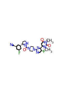 Cn1c(-c2nc(N3CCN(C(=O)N4N=CC[C@H]4c4cc(F)cc(C#N)c4)CC3)ncc2F)cc(=O)n(C)c1=O